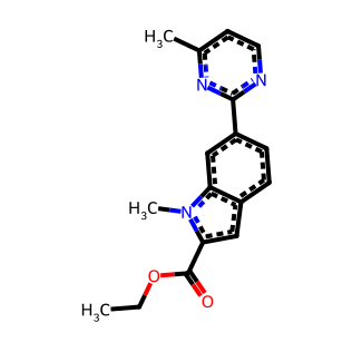 CCOC(=O)c1cc2ccc(-c3nccc(C)n3)cc2n1C